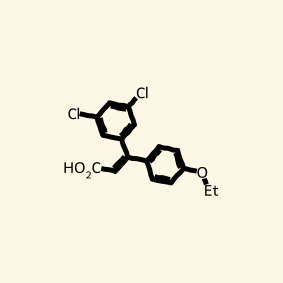 CCOc1ccc(/C(=C/C(=O)O)c2cc(Cl)cc(Cl)c2)cc1